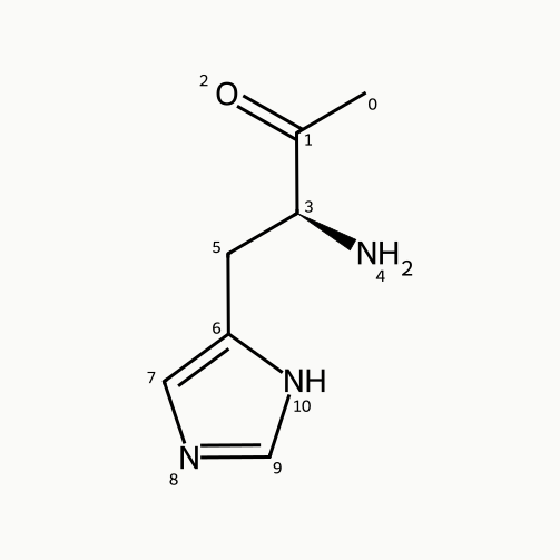 CC(=O)[C@@H](N)Cc1cnc[nH]1